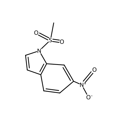 CS(=O)(=O)n1ccc2ccc([N+](=O)[O-])cc21